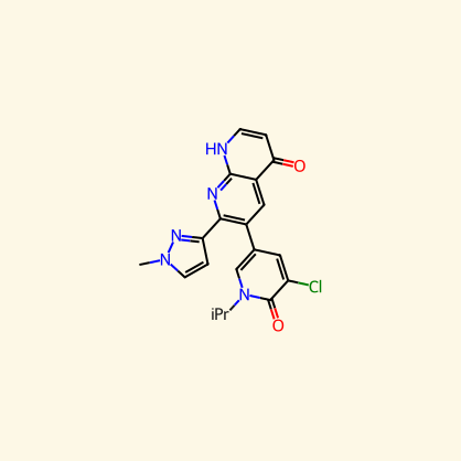 CC(C)n1cc(-c2cc3c(=O)cc[nH]c3nc2-c2ccn(C)n2)cc(Cl)c1=O